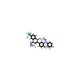 C=CN(c1ccc(F)cc1)c1cc(/C(=C/C=N\C)Cc2ccc(C(F)(F)F)cc2)ccc1C